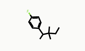 CCC(C)(C)C(C)c1ccc(F)cc1